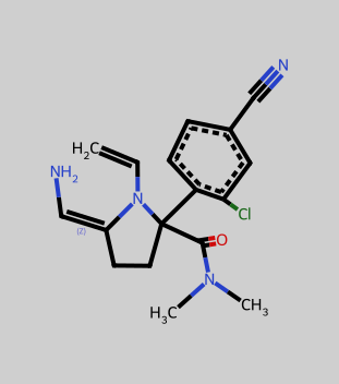 C=CN1/C(=C\N)CCC1(C(=O)N(C)C)c1ccc(C#N)cc1Cl